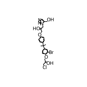 CC(C)(c1ccc(OC[C@H](O)Cn2nncc2CO)cc1)c1ccc(OC[C@@H](O)CCl)c(Br)c1